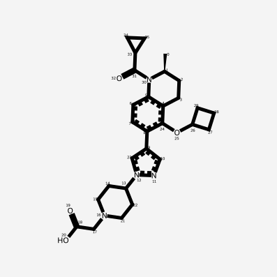 C[C@H]1CCc2c(ccc(-c3cnn(C4CCN(CC(=O)O)CC4)c3)c2OC2CCC2)N1C(=O)C1CC1